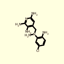 Nc1cc(CN(N)c2cc(Cl)ccc2N)c(N)c(N)n1